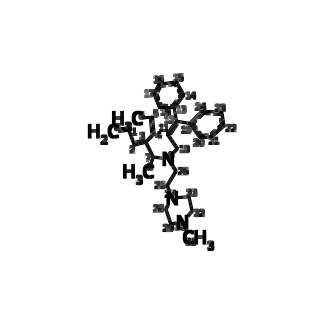 C=C/C=C(\C=C/C)C(C)N(CC=C(c1ccccc1)c1ccccc1)CCN1CCN(C)CC1